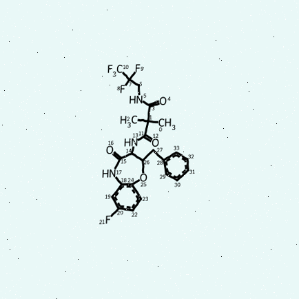 CC(C)(C(=O)NCC(F)(F)C(F)(F)F)C(=O)NC1C(=O)Nc2cc(F)ccc2OC1Cc1ccccc1